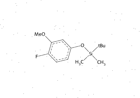 COc1cc(O[Si](C)(C)C(C)(C)C)ccc1F